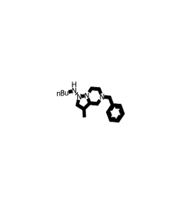 CCCCNN1CC(C)[C]2CN(Cc3ccccc3)CCN21